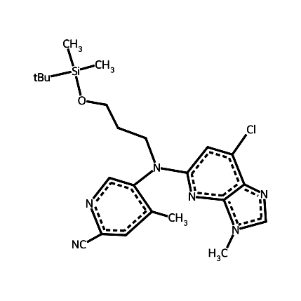 Cc1cc(C#N)ncc1N(CCCO[Si](C)(C)C(C)(C)C)c1cc(Cl)c2ncn(C)c2n1